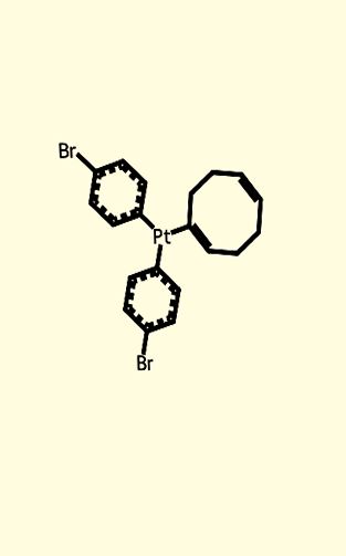 Brc1cc[c]([Pt]([C]2=CCCC=CCC2)[c]2ccc(Br)cc2)cc1